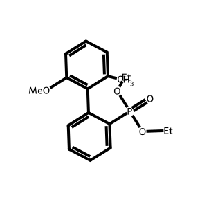 CCOP(=O)(OCC)c1ccccc1-c1c(C)cccc1OC